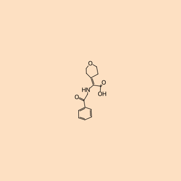 O=C(O)C(NCC(=O)c1ccccc1)=C1CCOCC1